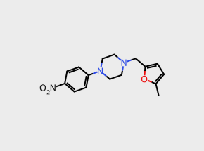 Cc1ccc(CN2CCN(c3ccc([N+](=O)[O-])cc3)CC2)o1